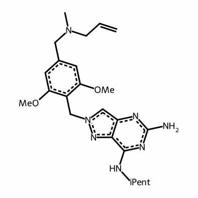 C=CCN(C)Cc1cc(OC)c(Cn2cc3nc(N)nc(NC(C)CCC)c3n2)c(OC)c1